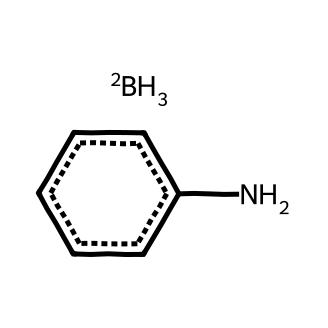 Nc1ccccc1.[2BH3]